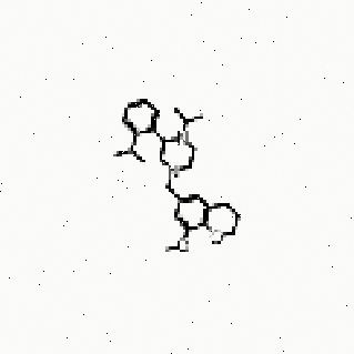 COc1cc(CN2CCN(C(C)C)C(c3ccccc3C(C)C)C2)cc2c1OCCC2